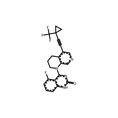 O=c1nc(N2CCCc3c(C#CC4(C(F)(F)F)CC4)cncc32)c2c(F)cccc2[nH]1